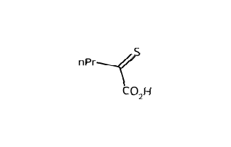 CCCC(=S)C(=O)O